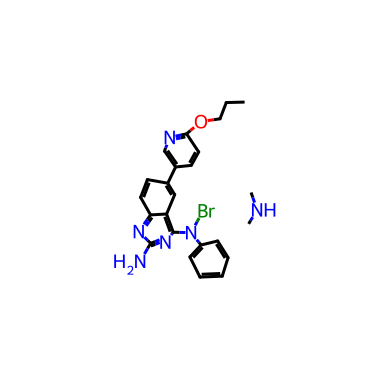 CCCOc1ccc(-c2ccc3nc(N)nc(N(Br)c4ccccc4)c3c2)cn1.CNC